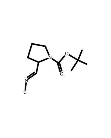 CC(C)(C)OC(=O)N1CCCC1/C=N/Cl